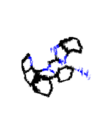 N[C@H]1CC[C@](c2ccccc2)(N(Cc2nc3ccccc3[nH]2)C2CCCc3cccnc32)CC1